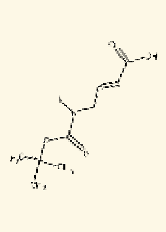 CC(C)(C)OC(=O)N(I)C/C=C/C(=O)O